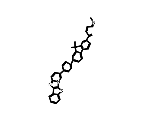 C=C(/C=C\C=N/C)c1ccc2c(c1)C(C)(C)c1cc(-c3ccc(-c4ccc5nc6c7ccccc7sc6n5c4)cc3)ccc1-2